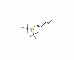 CC=CC=CP(C(C)(C)C)C(C)(C)C